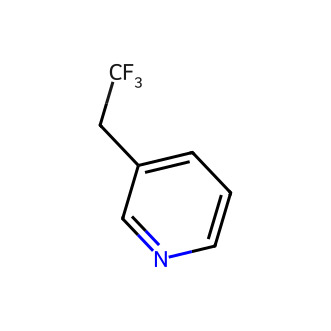 FC(F)(F)Cc1cccnc1